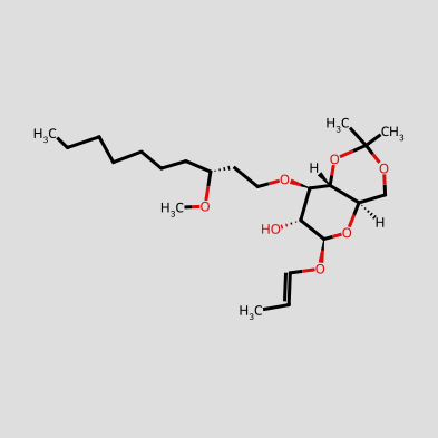 C/C=C/O[C@@H]1O[C@@H]2COC(C)(C)O[C@H]2[C@H](OCC[C@@H](CCCCCCC)OC)[C@H]1O